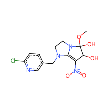 COC1(O)C(O)C([N+](=O)[O-])=C2N(Cc3ccc(Cl)nc3)CCN21